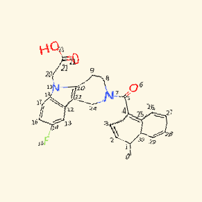 CC1C=CC(C(=O)N2CCc3c(c4cc(F)ccc4n3CC(=O)O)C2)=C2C=CC=CC21